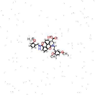 COc1ccc(OC)c(CCN(CCC(=O)O)C(=O)c2ccccc2-c2ccccc2C(=O)NCc2ccccc2OC)c1